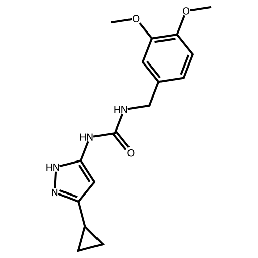 COc1ccc(CNC(=O)Nc2cc(C3CC3)n[nH]2)cc1OC